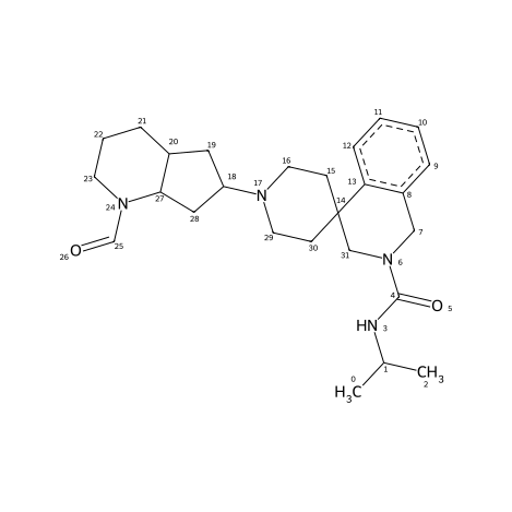 CC(C)NC(=O)N1Cc2ccccc2C2(CCN(C3CC4CCCN(C=O)C4C3)CC2)C1